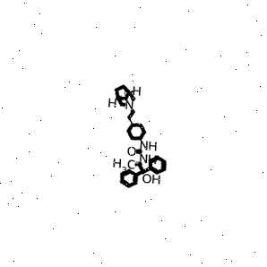 C[C@@H](NC(=O)N[C@H]1CC[C@H](CCN2C[C@@H]3CC[C@@H](C3)C2)CC1)C(O)(c1ccccc1)c1ccccc1